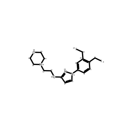 ICc1ccc(-n2ccc(OCCN3CCOCC3)n2)cc1CI